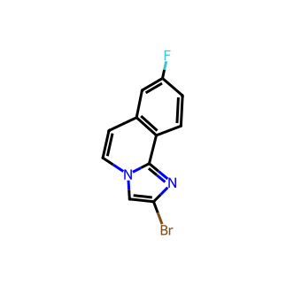 Fc1ccc2c(ccn3cc(Br)nc23)c1